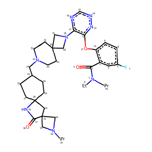 CCN(C(=O)c1cc(F)ccc1Oc1nncnc1N1CC2(CCN(CC3CCC4(CC3)CC3(CN(C(C)C)C3)C(=O)N4)CC2)C1)C(C)C